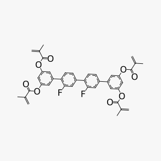 C=C(C)C(=O)Oc1cc(OC(=O)C(=C)C)cc(-c2ccc(-c3ccc(-c4cc(OC(=O)C(=C)C)cc(OC(=O)C(=C)C)c4)c(F)c3)c(F)c2)c1